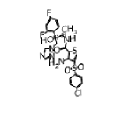 C[C@@H](NC(=O)c1scc(S(=O)(=O)c2ccc(Cl)cc2)c1N)[C@](O)(Cn1cncn1)c1ccc(F)cc1F